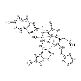 C#CCN(C(=O)NCc1ccccc1)N1CC(=O)N2[C@@H](Cc3ccc4c(c3)N/C=C/C(=O)CO4)C(=O)N(Cc3cccc4sc(N)nc34)C[C@@H]21